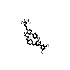 NS(=O)(=O)CCCN1CCN(c2ccc(Oc3cc(CN4CCC(CNC=O)CC4)cc(-c4cc(Cl)cc(Cl)c4)n3)cn2)CC1